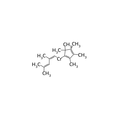 CC(C)=CC(C)=[CH][Cr][C]1=C(C)C(C)=C(C)C1(C)C